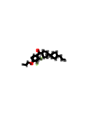 CCCOc1ccc(C(=O)C2CCC(C3CCC(CCC)CC3)CC2)c(F)c1F